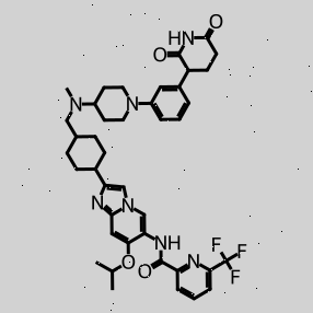 CC(C)Oc1cc2nc(C3CCC(CN(C)C4CCN(c5cccc(C6CCC(=O)NC6=O)c5)CC4)CC3)cn2cc1NC(=O)c1cccc(C(F)(F)F)n1